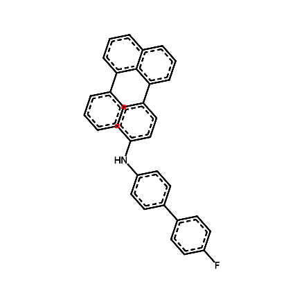 Fc1ccc(-c2ccc(Nc3ccc(-c4cccc5cccc(-c6ccccc6)c45)cc3)cc2)cc1